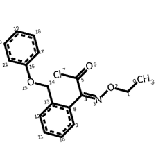 CCO/N=C(\C(=O)Cl)c1ccccc1COc1ccccc1